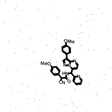 COc1ccc(-c2cnn3c(C(NC(=O)C(C#N)c4ccc(OC)cc4)c4ccccn4)ccnc23)cc1